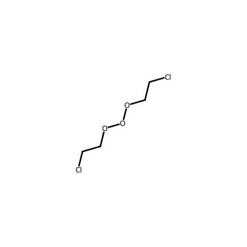 ClCCOOOCCCl